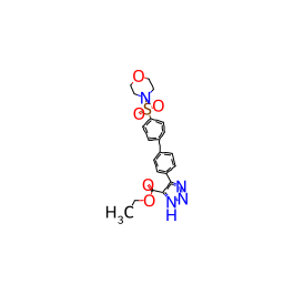 CCOC(=O)c1[nH]nnc1-c1ccc(-c2ccc(S(=O)(=O)N3CCOCC3)cc2)cc1